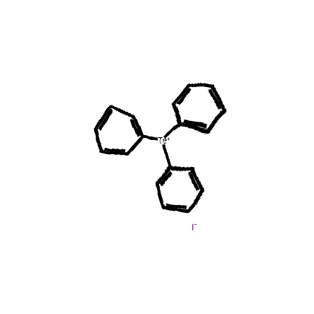 [I-].c1ccc([Te+](c2ccccc2)c2ccccc2)cc1